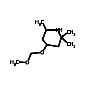 COCOC1CC(C)NC(C)(C)C1